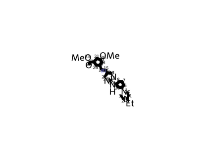 CCN1CCN(c2cccc(Nc3ncc(/C=C/c4cc(OC)cc(C(=O)OC)c4)cn3)c2)CC1